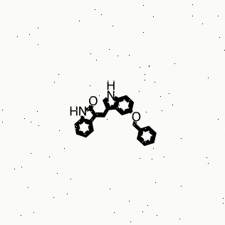 O=C1Nc2ccccc2C1=Cc1c[nH]c2ccc(OCc3ccccc3)cc12